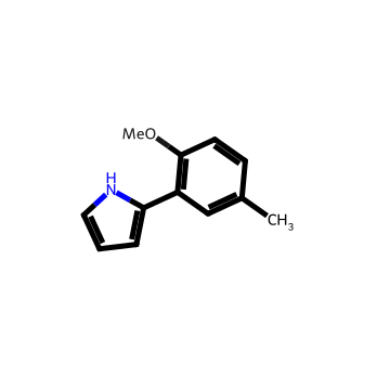 COc1ccc(C)cc1-c1ccc[nH]1